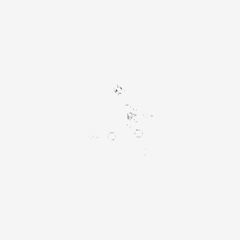 COc1ccc(COC(=O)NC(C(=O)N[C@]2(OC)C(=O)N3C(C(=O)O)=C(CSc4nnnn4CC(=O)O)CS[C@@H]32)c2ccc(OCC(=O)OC(C)(C)C)cc2)cc1